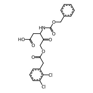 O=C(O)CC(NC(=O)OCc1ccccc1)C(=O)COC(=O)Cc1cccc(Cl)c1Cl